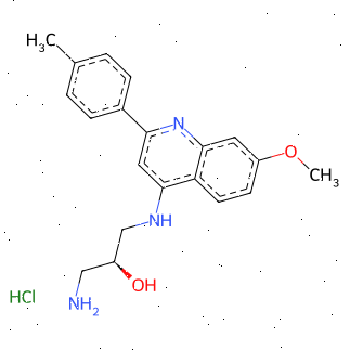 COc1ccc2c(NC[C@@H](O)CN)cc(-c3ccc(C)cc3)nc2c1.Cl